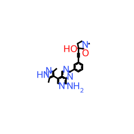 Cc1n[nH]c(C)c1-c1cnc(N)c2nc(-c3cccc(C#CC4(O)CCN(C)C4=O)c3)ncc12